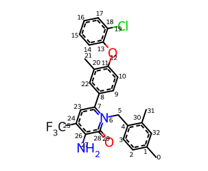 Cc1ccc(Cn2c(-c3ccc(Oc4ccccc4Cl)c(C)c3)cc(C(F)(F)F)c(N)c2=O)c(C)c1